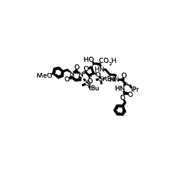 COc1ccc(Cn2c(=O)ccn([C@@H]3O[C@H](C(O)[C@H](NCCCNC(=O)[C@@H](CC(C)C)NC(=O)OCc4ccccc4)C(=O)O)[C@@H](O[Si](C)(C)C(C)(C)C)[C@H]3O[Si](C)(C)C(C)(C)C)c2=O)cc1